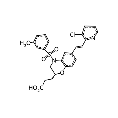 Cc1cccc(S(=O)(=O)N2C[C@H](CCC(=O)O)Oc3ccc(/C=C/c4ncccc4Cl)cc32)c1